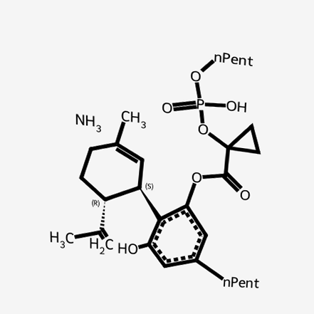 C=C(C)[C@@H]1CCC(C)=C[C@H]1c1c(O)cc(CCCCC)cc1OC(=O)C1(OP(=O)(O)OCCCCC)CC1.N